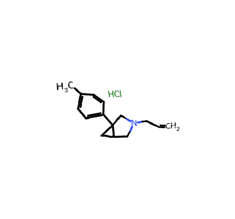 C=CCN1CC2CC2(c2ccc(C)cc2)C1.Cl